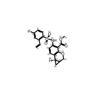 C=Cc1cc(F)ccc1S(=O)(=O)Nc1ccc2c(c1C(=O)OC)OCC1C[C@H]21